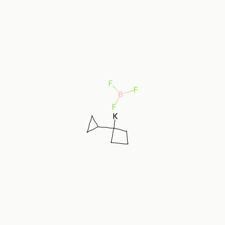 FB(F)F.[K][C]1(C2CC2)CCC1